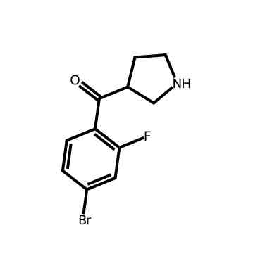 O=C(c1ccc(Br)cc1F)C1CCNC1